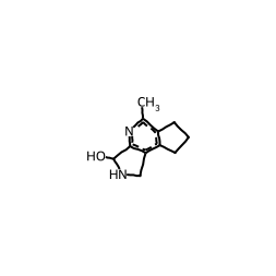 Cc1nc2c(c3c1CCC3)CNC2O